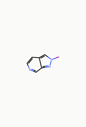 In1cc2ccncc2n1